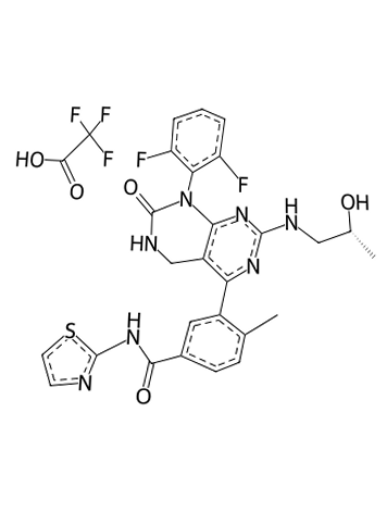 Cc1ccc(C(=O)Nc2nccs2)cc1-c1nc(NC[C@@H](C)O)nc2c1CNC(=O)N2c1c(F)cccc1F.O=C(O)C(F)(F)F